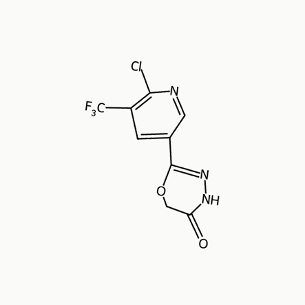 O=C1COC(c2cnc(Cl)c(C(F)(F)F)c2)=NN1